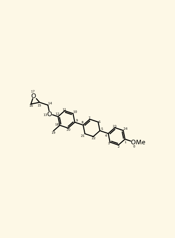 COc1ccc(C2CC=C(c3ccc(OCC4CO4)c(C)c3)CC2)cc1